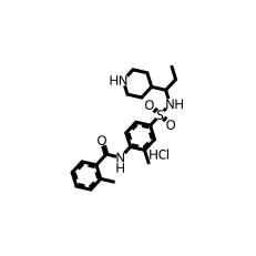 CCC(NS(=O)(=O)c1ccc(NC(=O)c2ccccc2C)c(C)c1)C1CCNCC1.Cl